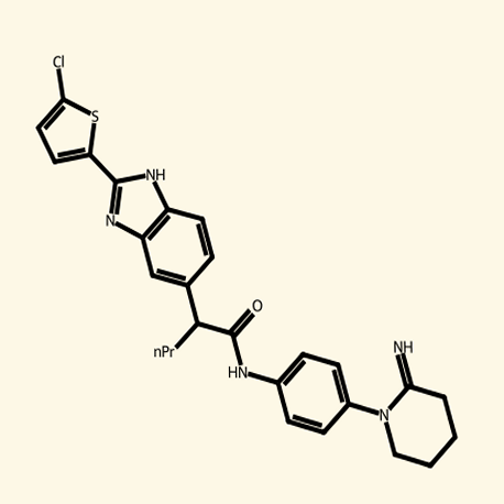 CCCC(C(=O)Nc1ccc(N2CCCCC2=N)cc1)c1ccc2[nH]c(-c3ccc(Cl)s3)nc2c1